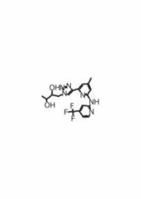 Cc1cc(Nc2cc(C(F)(F)F)ccn2)nc(-c2cn(CC(O)C(C)O)nn2)c1